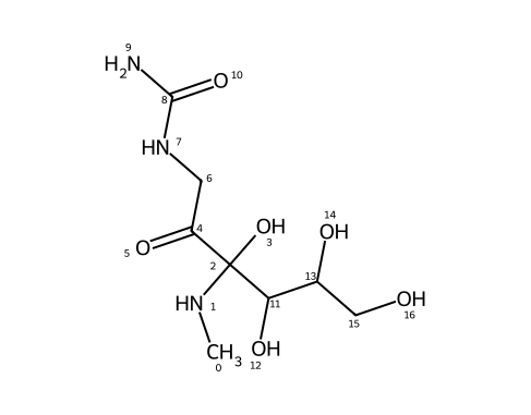 CNC(O)(C(=O)CNC(N)=O)C(O)C(O)CO